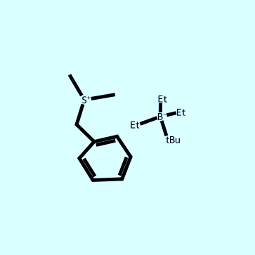 CC[B-](CC)(CC)C(C)(C)C.C[S+](C)Cc1ccccc1